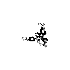 CCN(CC)c1cc(C(C)C2(C(C)c3ccnc(N(CC)CC)c3)NC(=O)N(c3ccc(SC(F)(F)F)cc3)C2=O)ccn1